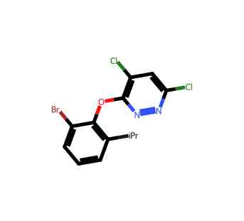 CC(C)c1cccc(Br)c1Oc1nnc(Cl)cc1Cl